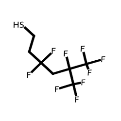 FC(F)(CCS)CC(F)(C(F)(F)F)C(F)(F)F